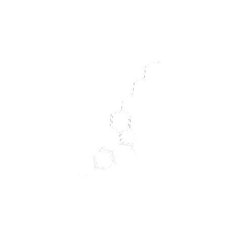 Cc1sc2cc(OCCCCBr)ccc2c1-c1ccc(C(F)(F)F)cc1